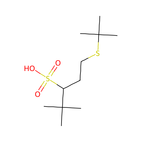 CC(C)(C)SCCC(C(C)(C)C)S(=O)(=O)O